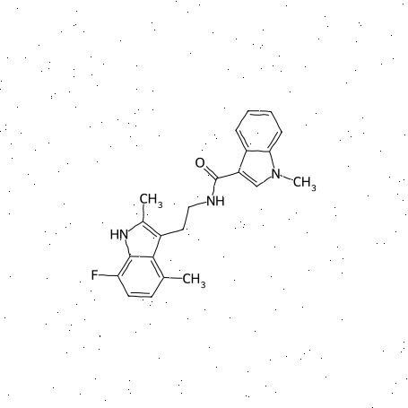 Cc1[nH]c2c(F)ccc(C)c2c1CCNC(=O)c1cn(C)c2ccccc12